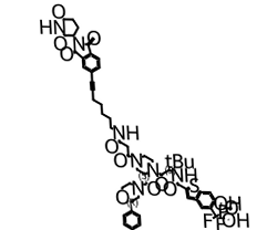 CC(C)(C)[C@H](NC(=O)c1cc2cc(C(F)(F)P(=O)(O)O)ccc2s1)C(=O)N1CCN(C(=O)CC(=O)NCCCCCC#Cc2ccc3c(c2)C(=O)N(C2CCC(=O)NC2=O)C3=O)C[C@H]1C(=O)N1CCO[C@H](c2ccccc2)C1